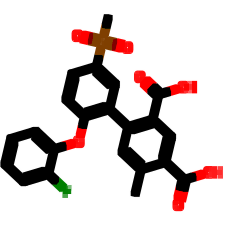 Cc1cc(-c2cc(S(C)(=O)=O)ccc2Oc2ccccc2F)c(C(=O)O)cc1C(=O)O